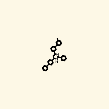 Cc1cccc(-c2cccc(C3=CC(c4ccc(-c5ccccc5)cc4)NC(c4ccccc4)=N3)c2)c1